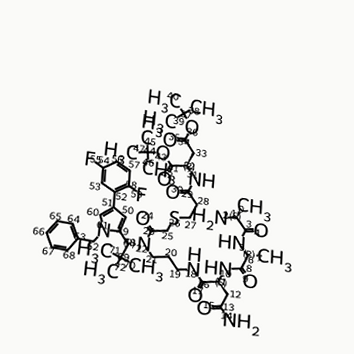 C[C@H](N)C(=O)N[C@H](C)C(=O)N[C@@H](CC(N)=O)C(=O)NCCCN(C(=O)CSCCC(=O)N[C@H](CC(=O)OC(C)(C)C)C(=O)OC(C)(C)C)[C@@H](c1cc(-c2cc(F)ccc2F)cn1Cc1ccccc1)C(C)(C)C